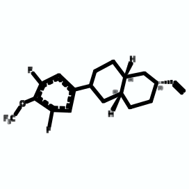 C=C[C@@H]1CC[C@@H]2CC(c3cc(F)c(OC(F)(F)F)c(F)c3)CC[C@@H]2C1